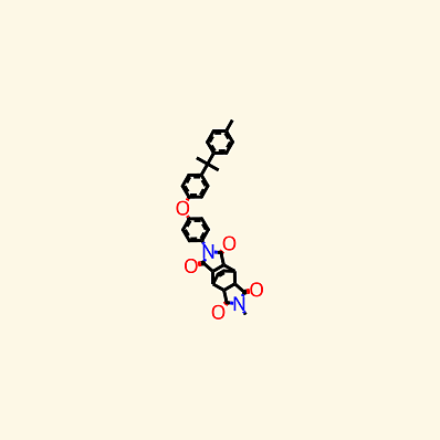 Cc1ccc(C(C)(C)c2ccc(Oc3ccc(N4C(=O)C5C6C=CC(C7C(=O)N(C)C(=O)C67)C5C4=O)cc3)cc2)cc1